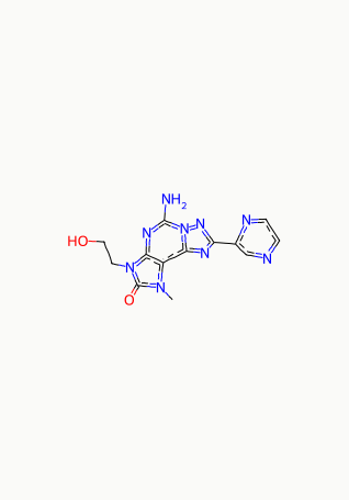 Cn1c(=O)n(CCO)c2nc(N)n3nc(-c4cnccn4)nc3c21